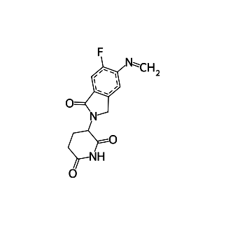 C=Nc1cc2c(cc1F)C(=O)N(C1CCC(=O)NC1=O)C2